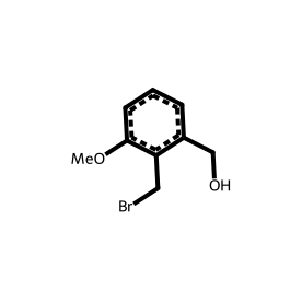 COc1cccc(CO)c1CBr